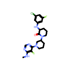 CNc1ncnc(N2CCCC(N3CCCC(Nc4cc(F)cc(Cl)c4)C3=O)C2)c1F